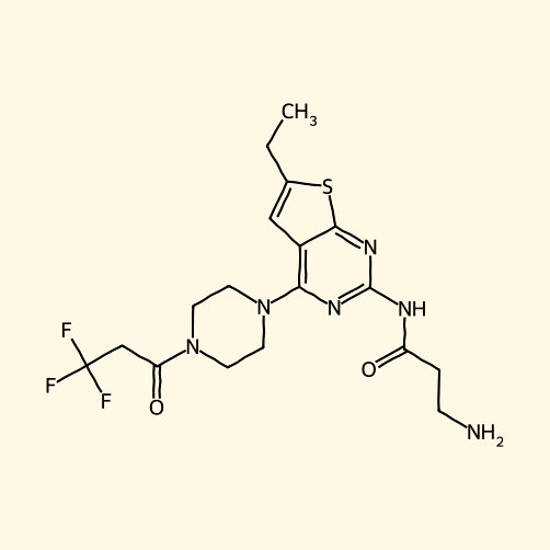 CCc1cc2c(N3CCN(C(=O)CC(F)(F)F)CC3)nc(NC(=O)CCN)nc2s1